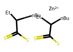 CCCCC(CC)C(=S)[S-].CCCCC(CC)C(=S)[S-].[Zn+2]